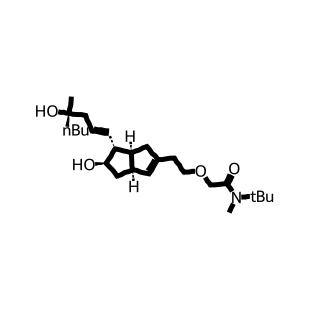 CCCC[C@](C)(O)C/C=C/[C@@H]1[C@H]2CC(CCOCC(=O)N(C)C(C)(C)C)=C[C@H]2C[C@H]1O